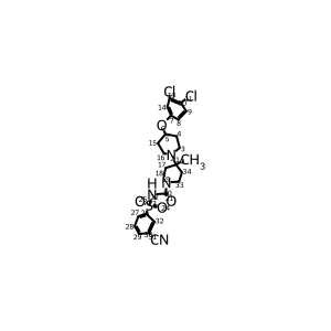 CC1(N2CCC(Oc3ccc(Cl)c(Cl)c3)CC2)CCN(C(=O)NS(=O)(=O)c2cccc(C#N)c2)CC1